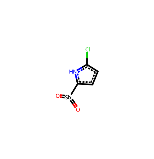 [O]=[Sb](=[O])[c]1ccc(Cl)[nH]1